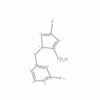 O=C(O)c1cc(F)cn1Cc1ccnc(F)c1